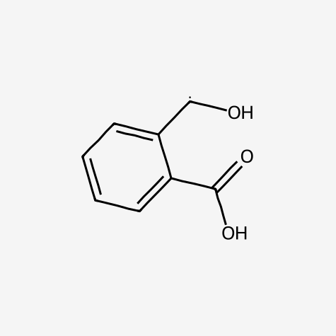 O=C(O)c1ccccc1[CH]O